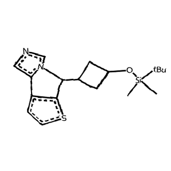 CC(C)(C)[Si](C)(C)OC1CC(C2c3sccc3-c3cncn32)C1